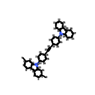 Cc1ccc2c3ccc(C)cc3n(-c3ccc(C#Cc4ccc(-n5c6ccccc6c6ccccc65)cc4)cc3)c2c1